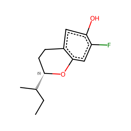 CCC(C)[C@@H]1CCc2cc(O)c(F)cc2O1